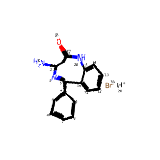 NC1N=C(c2ccccc2)c2ccccc2NC1=O.[Br-].[H+]